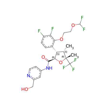 C[C@H]1[C@@H](c2ccc(F)c(F)c2OCCOC(F)F)[C@H](C(=O)Nc2ccnc(CO)c2)O[C@@]1(C)C(F)(F)F